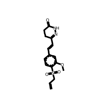 C=CCS(=O)(=O)c1ccc(C=CC2=NNC(=O)CC2)cc1OC